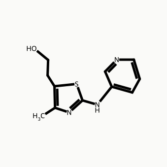 Cc1nc(Nc2cccnc2)sc1CCO